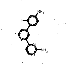 Nc1ccc(-c2ccnc(-c3ccnc(N)n3)c2)c(F)c1